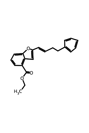 CCOC(=O)c1cccc2oc(C=CCCc3ccccc3)cc12